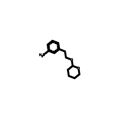 Bc1cccc(CCOC2CCCCO2)c1